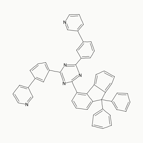 c1ccc(C2(c3ccccc3)c3ccccc3-c3c(-c4nc(-c5cccc(-c6cccnc6)c5)nc(-c5cccc(-c6cccnc6)c5)n4)cccc32)cc1